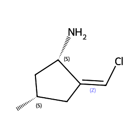 C[C@H]1C/C(=C/Cl)[C@@H](N)C1